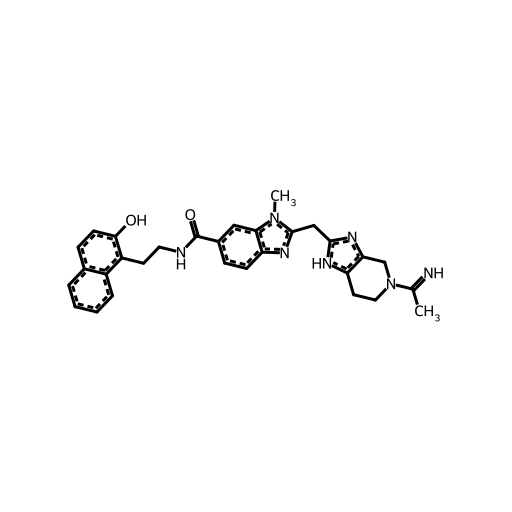 CC(=N)N1CCc2[nH]c(Cc3nc4ccc(C(=O)NCCc5c(O)ccc6ccccc56)cc4n3C)nc2C1